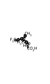 Cc1ccc(Oc2ccc(-c3ccc(OC(F)(F)F)cc3)cc2C(C)Cc2ccc(C(=O)NCCC(=O)O)cc2)cc1